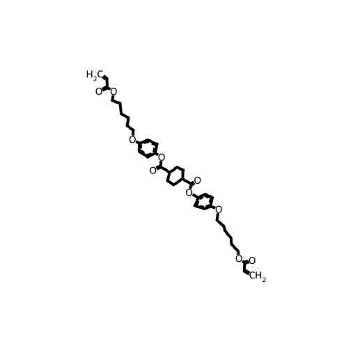 C=CC(=O)OCCCCCCOc1ccc(OC(=O)C2CCC(C(=O)Oc3ccc(OCCCCCCOC(=O)C=C)cc3)CC2)cc1